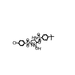 CC(C)(C)c1ccc(S(=O)(=O)NC(CNS(=O)(=O)c2ccc(Cl)cc2)C(=O)NO)cc1